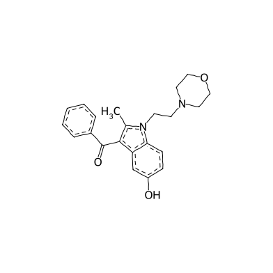 Cc1c(C(=O)c2ccccc2)c2cc(O)ccc2n1CCN1CCOCC1